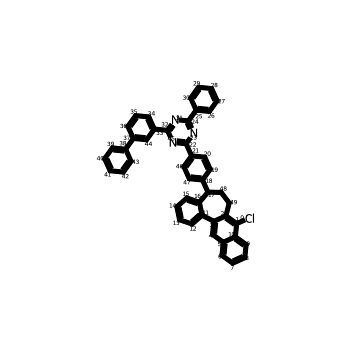 Clc1c2c(cc3ccccc13)-c1ccccc1C(c1ccc(-c3nc(-c4ccccc4)nc(-c4cccc(-c5ccccc5)c4)n3)cc1)CC2